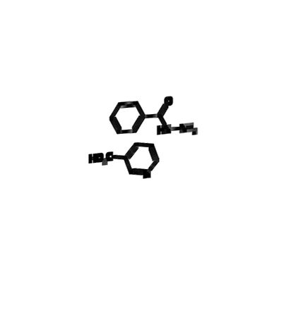 NNC(=O)c1ccccc1.O=C(O)c1cccnc1